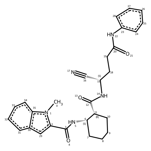 Cn1c(C(=O)N[C@H]2CCCC[C@H]2C(=O)N[C@H](C#N)CCC(=O)Nc2ccccc2)cc2ccccc21